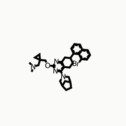 CN(C)CC1(COc2nc3c(c(N4CC5CCC(C5)C4)n2)CCC(c2cccc4cccc(Br)c24)C3)CC1